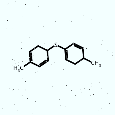 CC1=CCC(SC2=CCC(C)C=C2)C=C1